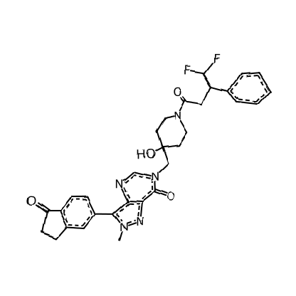 Cn1nc2c(=O)n(CC3(O)CCN(C(=O)CC(c4ccccc4)C(F)F)CC3)cnc2c1-c1ccc2c(c1)CCC2=O